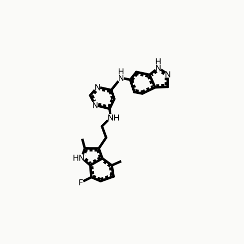 Cc1[nH]c2c(F)ccc(C)c2c1CCNc1cc(Nc2ccc3cn[nH]c3c2)ncn1